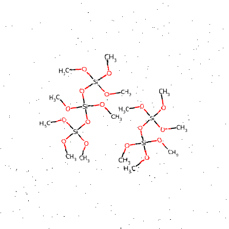 CO[Si](OC)(OC)O[Si](OC)(OC)OC.CO[Si](OC)(OC)O[Si](OC)(OC)O[Si](OC)(OC)OC